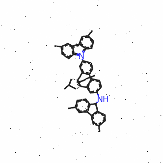 Cc1ccc2c(c1)-c1cc(C)ccc1C2Nc1ccc2c(c1)[C@]13CC(C)C[C@]1(CC(C)C3)c1cc(-n3c4ccc(C)cc4c4cc(C)ccc43)ccc1-2